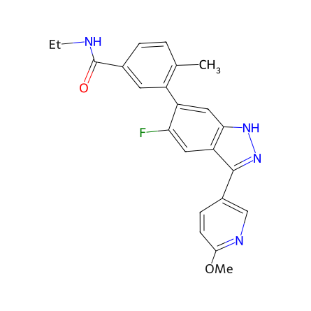 CCNC(=O)c1ccc(C)c(-c2cc3[nH]nc(-c4ccc(OC)nc4)c3cc2F)c1